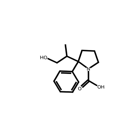 CC(CO)C1(c2ccccc2)CCCN1C(=O)O